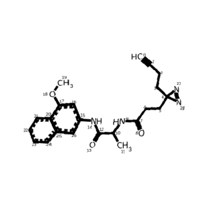 C#CCCC1(CCC(=O)NC(C)C(=O)Nc2cc(OC)c3ccccc3c2)N=N1